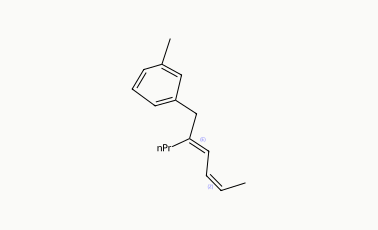 C/C=C\C=C(/CCC)Cc1cccc(C)c1